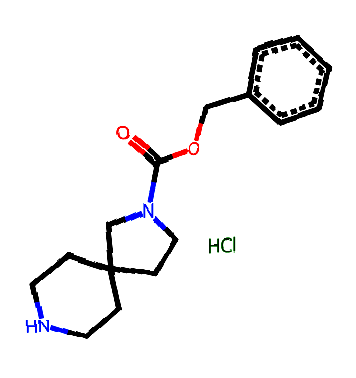 Cl.O=C(OCc1ccccc1)N1CCC2(CCNCC2)C1